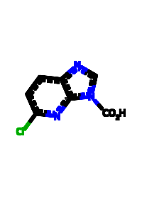 O=C(O)n1cnc2ccc(Cl)nc21